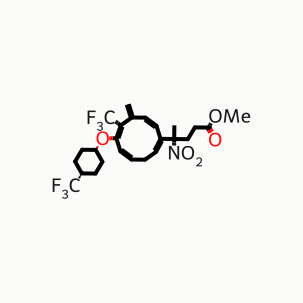 C=C1/C=C\C(C(C)(CCC(=O)OC)[N+](=O)[O-])=C/C/C=C\C(O[C@H]2CC[C@@H](C(F)(F)F)CC2)=C/1C(F)(F)F